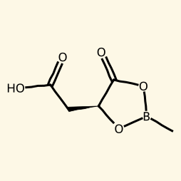 CB1OC(=O)[C@H](CC(=O)O)O1